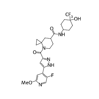 COc1cc(-c2cc(C(=O)N3CCC(C(=O)NC4CCC(O)(C(F)(F)F)CC4)CC34CC4)n[nH]2)c(F)cn1